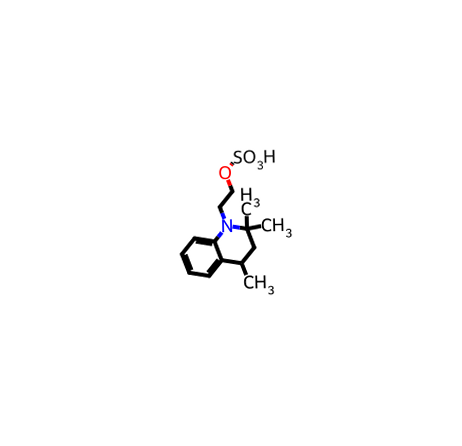 CC1CC(C)(C)N(CCOS(=O)(=O)O)c2ccccc21